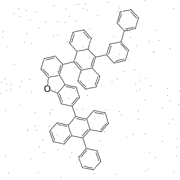 C1=CC2C(c3cccc(-c4ccccc4)c3)=c3ccccc3=C(c3cccc4oc5cc(-c6c7ccccc7c(-c7ccccc7)c7ccccc67)ccc5c34)C2C=C1